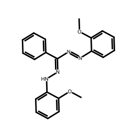 COc1ccccc1N=NC(=NNc1ccccc1OC)c1ccccc1